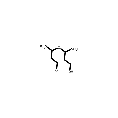 O=S(=O)(O)C(CCO)OC(CCO)S(=O)(=O)O